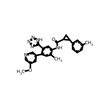 COc1cncc(-c2cc(C)c(NC(=O)C3CC3c3cccc(C)c3)cc2-c2nnn[nH]2)c1